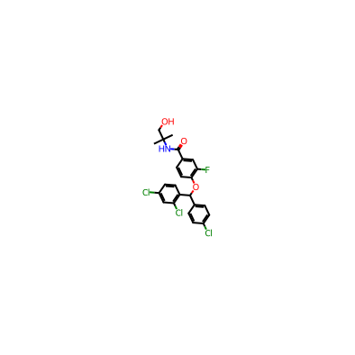 CC(C)(CO)NC(=O)c1ccc(OC(c2ccc(Cl)cc2)c2ccc(Cl)cc2Cl)c(F)c1